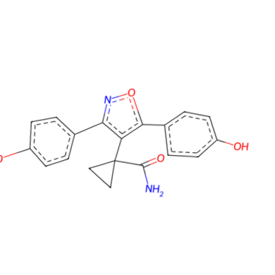 NC(=O)C1(c2c(-c3ccc(O)cc3)noc2-c2ccc(O)cc2)CC1